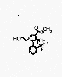 COC(=O)c1cn(CCO)c(-c2ccccc2C(F)(F)F)c1C